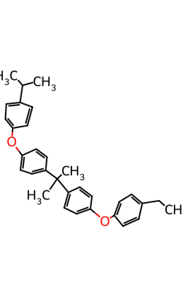 CCc1ccc(Oc2ccc(C(C)(C)c3ccc(Oc4ccc(C(C)C)cc4)cc3)cc2)cc1